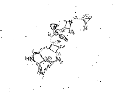 CN(c1ncnc2[nH]ccc12)[C@H]1C[C@@H](CS(=O)(=O)C2CN(CC3CC3)C2)C1